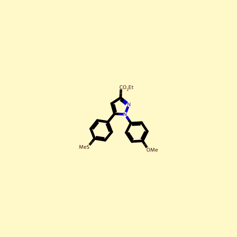 CCOC(=O)c1cc(-c2ccc(SC)cc2)n(-c2ccc(OC)cc2)n1